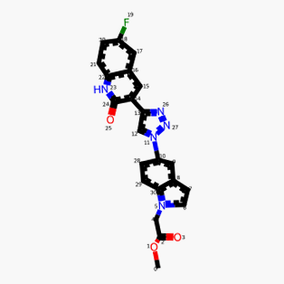 COC(=O)Cn1ccc2cc(-n3cc(-c4cc5cc(F)ccc5[nH]c4=O)nn3)ccc21